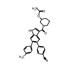 Cc1ccc(-c2cc3[nH]cc(C(=O)N4CCCC(OC(N)=O)C4)c3cc2-c2ccc(C#N)cc2)cc1